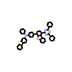 C1=CCCC(c2nc(-c3ccccc3)nc(-c3ccc(-c4ccc(N(c5ccccc5)c5ccc6c(c5)sc5ccccc56)cc4)c4oc5ccccc5c34)n2)=C1